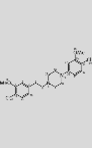 COc1cc(CCN2CCN(c3ccc(Cl)c(OC)c3)CC2)ccc1Cl